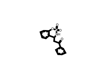 O=C(CC1NS(=O)(=O)Oc2ccccc21)c1ccccc1